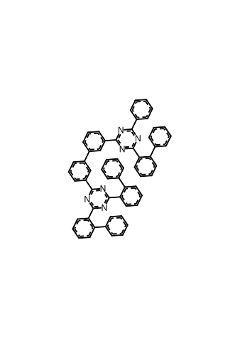 c1ccc(-c2nc(-c3cccc(-c4cccc(-c5nc(-c6ccccc6-c6ccccc6)nc(-c6ccccc6-c6ccccc6)n5)c4)c3)nc(-c3ccccc3-c3ccccc3)n2)cc1